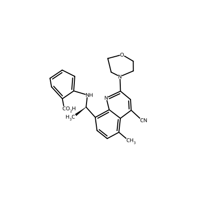 Cc1ccc([C@@H](C)Nc2ccccc2C(=O)O)c2nc(N3CCOCC3)cc(C#N)c12